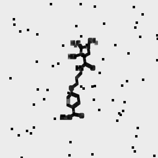 C=C1C(O)=C(C(=O)NCCCOc2ccc(C(=O)OC)cc2)CN1C